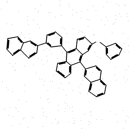 c1ccc([SiH2]c2ccc3c(-c4cccc(-c5ccc6ccccc6c5)c4)c4ccccc4c(-c4ccc5ccccc5c4)c3c2)cc1